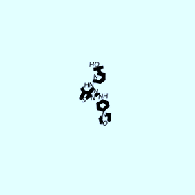 Cc1csc2nc(N[C@H]3CC[C@H](N4CCOCC4)CC3)nc(Nc3cccc(C(C)(C)O)n3)c12